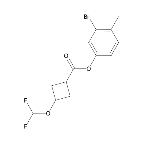 Cc1ccc(OC(=O)C2CC(OC(F)F)C2)cc1Br